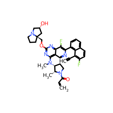 C#Cc1c(F)ccc2cccc(-c3ncc4c(N(C)[C@@H]5CCN(C(=O)C=C)[C@@H]5C)nc(OC[C@@]56CCCN5C[C@H](O)C6)nc4c3F)c12